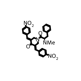 CN[C@H](Cc1ccccc1)C(=O)N1C/C(=C\c2ccc([N+](=O)[O-])cc2)C(=O)/C(=C/c2ccc([N+](=O)[O-])cc2)C1